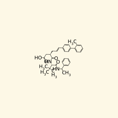 Cc1ccccc1-c1ccc(/C=C/C[C@H](CC(=O)O)C(=O)N[C@H](C(=O)N[C@H](C)c2ccccc2)C(C)(C)C)cc1